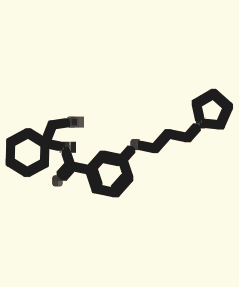 O=C(NC1(CO)CCCCC1)c1cccc(OCCCN2CCCC2)c1